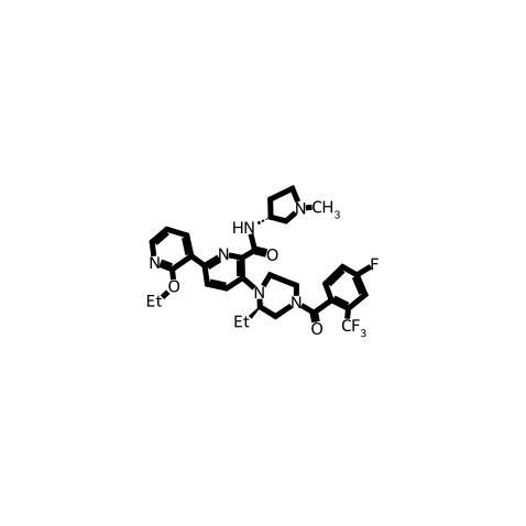 CCOc1ncccc1-c1ccc(N2CCN(C(=O)c3ccc(F)cc3C(F)(F)F)C[C@H]2CC)c(C(=O)N[C@@H]2CCN(C)C2)n1